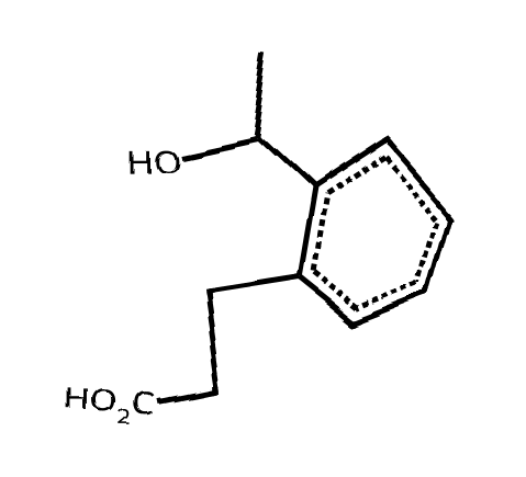 CC(O)c1ccccc1CCC(=O)O